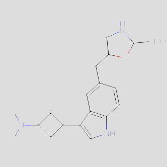 CN(C)C1CC(c2c[nH]c3ccc(CC4CNC(C=O)O4)cc23)C1